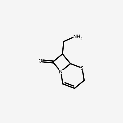 NCC1C(=O)N2C=CCSC12